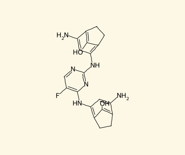 Nc1cc(Nc2ncc(F)c(Nc3cc(N)c4c(O)c3CC4)n2)c2c(O)c1CC2